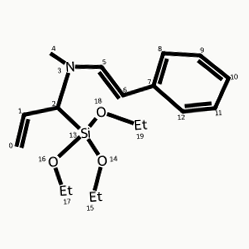 C=CC(N(C)C=Cc1ccccc1)[Si](OCC)(OCC)OCC